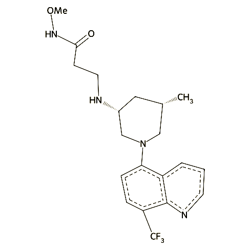 CONC(=O)CCN[C@@H]1C[C@H](C)CN(c2ccc(C(F)(F)F)c3ncccc23)C1